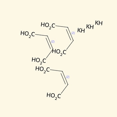 O=C(O)/C=C\C(=O)O.O=C(O)/C=C\C(=O)O.O=C(O)/C=C\C(=O)O.[KH].[KH].[KH]